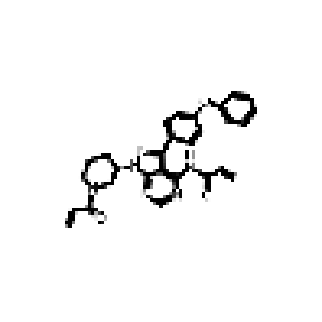 C=CC(=O)Nc1ncnc2c1c(-c1ccc(Oc3ccccc3)cc1)nn2[C@@H]1CCCN(C(=O)C=C)C1